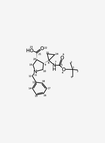 CC(C)(C)OC(=O)NC1([C@@H]2CN(Cc3ccccc3)C[C@@H]2C(=O)O)CC1